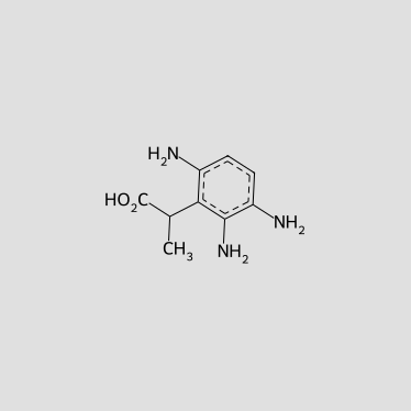 CC(C(=O)O)c1c(N)ccc(N)c1N